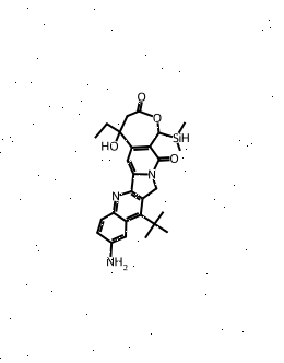 CCC1(O)CC(=O)OC([SiH](C)C)c2c1cc1n(c2=O)Cc2c-1nc1ccc(N)cc1c2C(C)(C)C